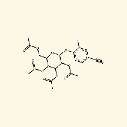 C#Cc1ccc(OC2OC(COC(C)=O)C(OC(C)=O)C(OC(C)=O)C2OC(C)=O)c(C)c1